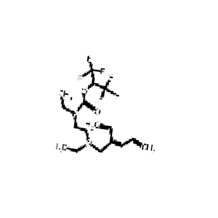 C=C/C=C(\C=C)CN(CC)CCN(CC)C(=O)OC(C(F)(F)F)C(F)(F)F